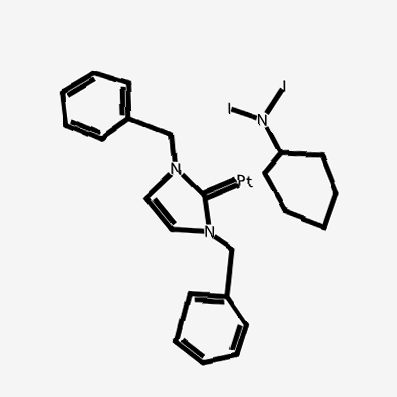 IN(I)C1CCCCC1.[Pt]=[c]1n(Cc2ccccc2)ccn1Cc1ccccc1